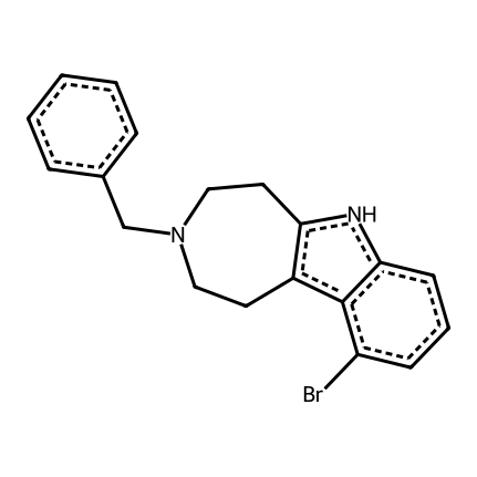 Brc1cccc2[nH]c3c(c12)CCN(Cc1ccccc1)CC3